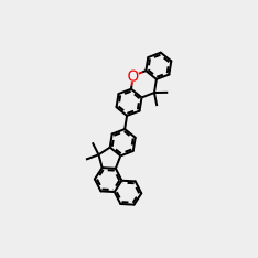 CC1(C)c2ccccc2Oc2ccc(-c3ccc4c(c3)C(C)(C)c3ccc5ccccc5c3-4)cc21